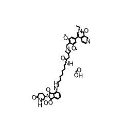 CCn1cc(-c2cc(OC)c(CN3CC(CC(=O)NCCCCCCCCNc4cccc5c4C(=O)N(C4CCC(=O)NC4=O)C5=O)C3)c(OC)c2)c2ccncc2c1=O.O=CO